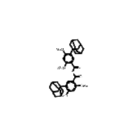 COc1cc(OC)c(C23CC4CC(CC(C4)C2)C3)cc1C(=O)OC(=O)c1cc(C23CC4CC(CC(C4)C2)C3)c(OC)cc1OC